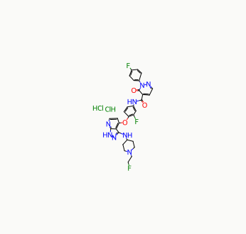 Cl.Cl.O=C(Nc1ccc(Oc2ccnc3[nH]nc(NC4CCN(CCF)CC4)c23)c(F)c1)c1ccnn(-c2ccc(F)cc2)c1=O